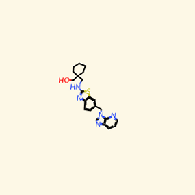 OCC1(CNc2nc3ccc(Cn4cnc5cccnc54)cc3s2)CCCCC1